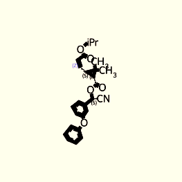 CC(C)OC(=O)/C=C\[C@H]1[C@@H](C(=O)O[C@H](C#N)c2cccc(Oc3ccccc3)c2)C1(C)C